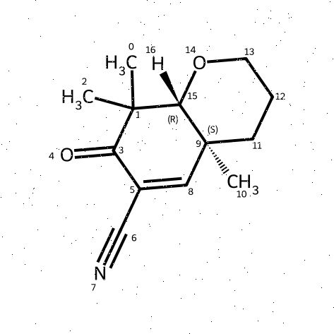 CC1(C)C(=O)C(C#N)=C[C@]2(C)CCCO[C@@H]12